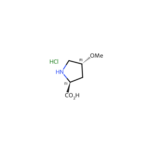 CO[C@H]1CN[C@H](C(=O)O)C1.Cl